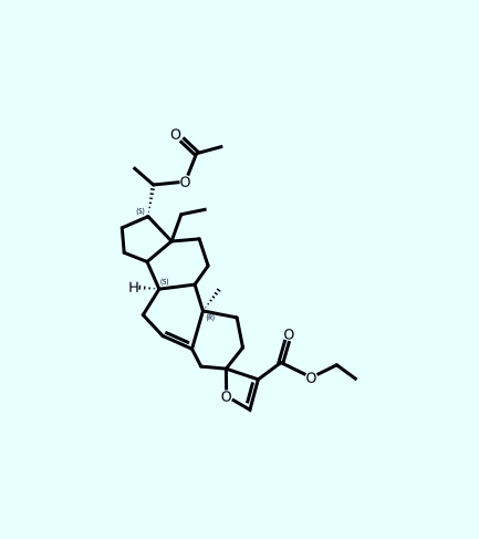 CCOC(=O)C1=COC12CC[C@@]1(C)C(=CC[C@H]3C4CC[C@H](C(C)OC(C)=O)C4(CC)CCC31)C2